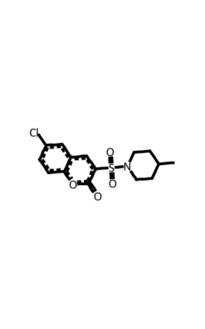 CC1CCN(S(=O)(=O)c2cc3cc(Cl)ccc3oc2=O)CC1